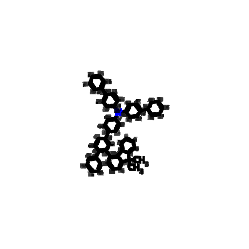 CC1(C)c2ccccc2-c2c(-c3cc(-c4ccc(N(c5ccc(-c6ccccc6)cc5)c5ccc(C6C=CC=CC6)cc5)cc4)ccc3-c3ccccc3)cccc21